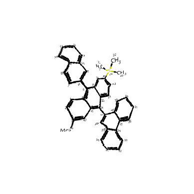 CSc1ccc2c(-c3ccc4ccccc4c3)c3cc(S(C)(C)C)ccc3c(-c3cc4ccccc4c4ccccc34)c2c1